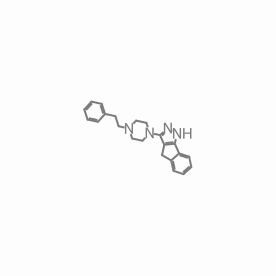 c1ccc(CCN2CCN(c3n[nH]c4c3Cc3ccccc3-4)CC2)cc1